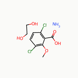 COc1c(Cl)ccc(Cl)c1C(=O)O.N.OCCO